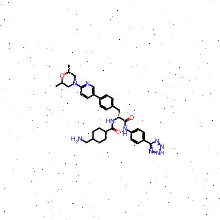 CC1CN(c2ccc(-c3ccc(C[C@H](NC(=O)C4CCC(CN)CC4)C(=O)Nc4ccc(-c5nn[nH]n5)cc4)cc3)cn2)CC(C)O1